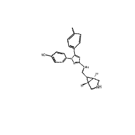 Cc1ccc(-c2cc(NCC3[C@H]4CNC[C@H]34)nn2-c2ccc(C#N)cc2)cc1